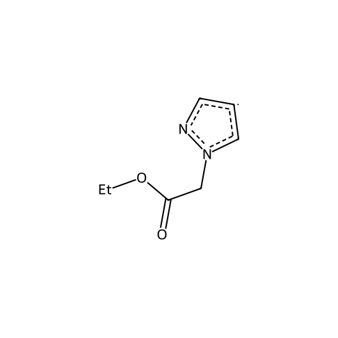 CCOC(=O)Cn1c[c]cn1